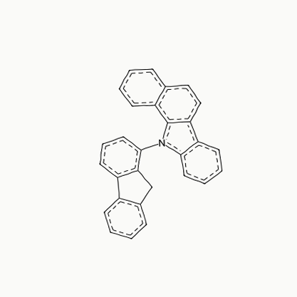 c1ccc2c(c1)Cc1c-2cccc1-n1c2ccccc2c2ccc3ccccc3c21